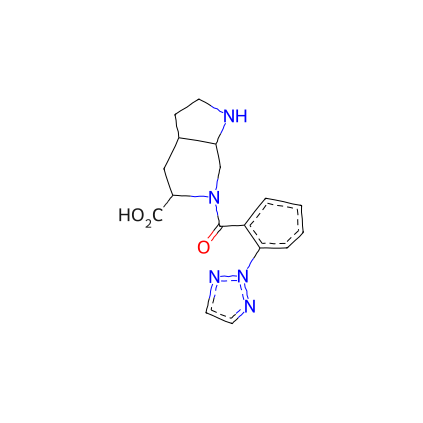 O=C(O)C1CC2CCNC2CN1C(=O)c1ccccc1-n1nccn1